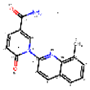 Cc1cccc2ccc(-n3cc(C(N)=O)ccc3=O)nc12